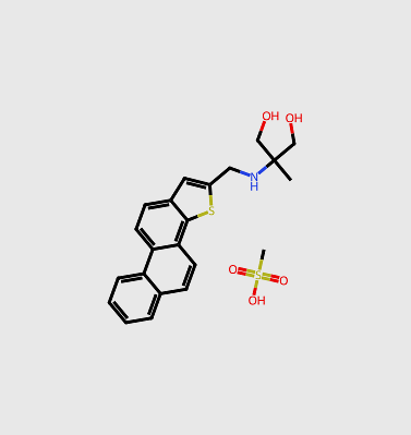 CC(CO)(CO)NCc1cc2ccc3c4ccccc4ccc3c2s1.CS(=O)(=O)O